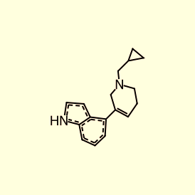 C1=C(c2cccc3[nH]ccc23)CN(CC2CC2)CC1